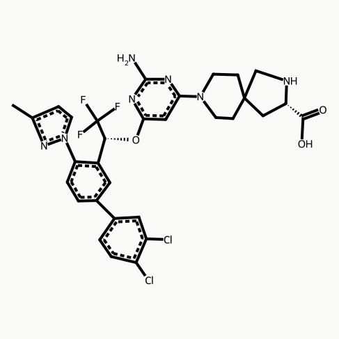 Cc1ccn(-c2ccc(-c3ccc(Cl)c(Cl)c3)cc2[C@@H](Oc2cc(N3CCC4(CC3)CN[C@H](C(=O)O)C4)nc(N)n2)C(F)(F)F)n1